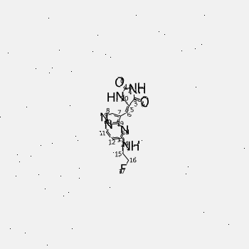 O=C1NC(=O)/C(=C/c2cnn3ccc(NCCF)nc23)N1